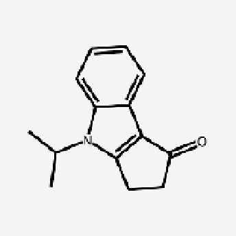 CC(C)n1c2c(c3ccccc31)C(=O)CC2